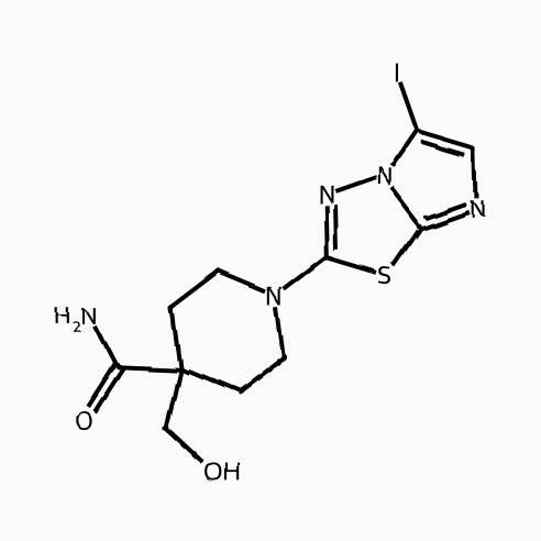 NC(=O)C1(CO)CCN(c2nn3c(I)cnc3s2)CC1